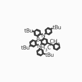 CC(C)(C)c1ccc(N2c3ccc(C(C)(C)C)cc3B3c4ccc(C(C)(C)C)cc4N(c4cccc(C(C)(C)C)c4)c4cc(C(C)(C)c5ccccc5)cc2c43)cc1